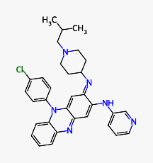 CC(C)CN1CCC(/N=c2\cc3n(-c4ccc(Cl)cc4)c4ccccc4nc-3cc2Nc2cccnc2)CC1